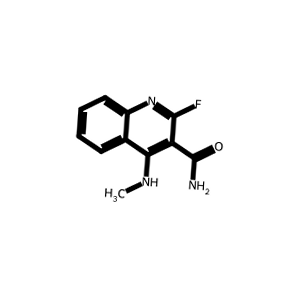 CNc1c(C(N)=O)c(F)nc2ccccc12